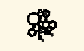 C=C1/C=C\C=C/CN2c3ccccc3C(C)(C)c3cc4c5c(c32)B1c1ccccc1N5c1cccc2c1C4(C)C2